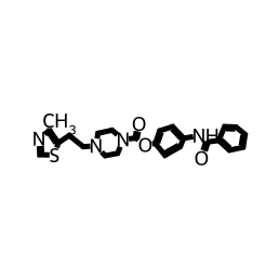 Cc1ncsc1CCN1CCN(C(=O)Oc2ccc(NC(=O)c3ccccc3)cc2)CC1